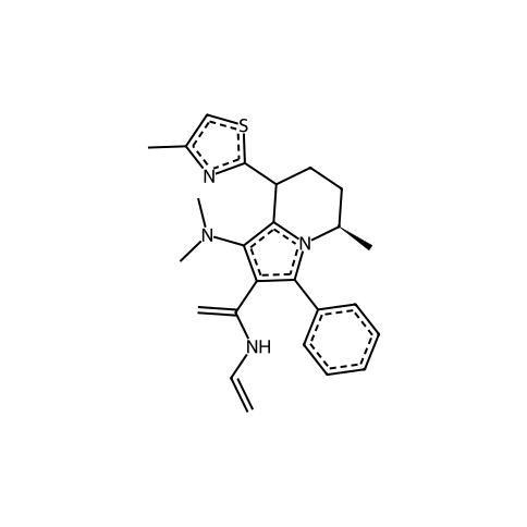 C=CNC(=C)c1c(N(C)C)c2n(c1-c1ccccc1)[C@H](C)CCC2c1nc(C)cs1